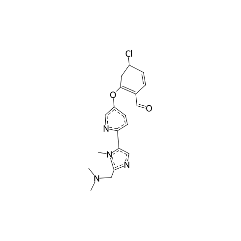 CN(C)Cc1ncc(-c2ccc(OC3=C(C=O)C=CC(Cl)C3)cn2)n1C